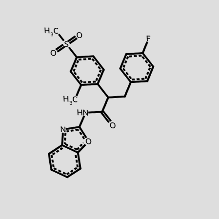 Cc1cc(S(C)(=O)=O)ccc1C(Cc1ccc(F)cc1)C(=O)Nc1nc2ccccc2o1